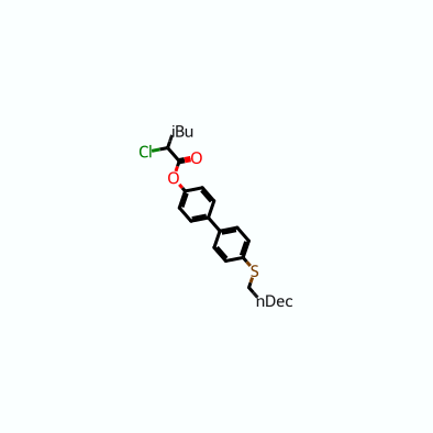 CCCCCCCCCCCSc1ccc(-c2ccc(OC(=O)C(Cl)C(C)CC)cc2)cc1